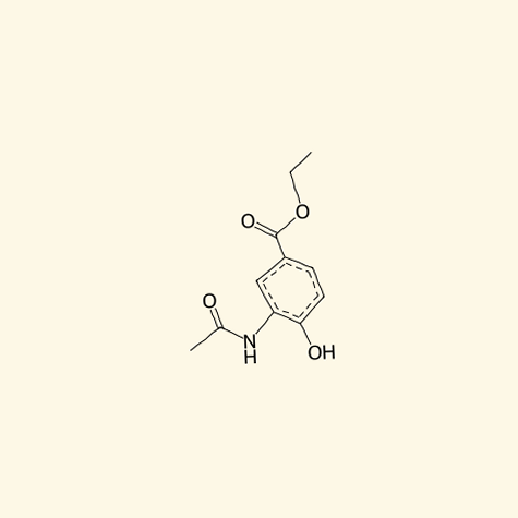 CCOC(=O)c1ccc(O)c(NC(C)=O)c1